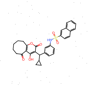 O=C1CCCCCc2oc(=O)c(C(c3cccc(NS(=O)(=O)c4ccc5ccccc5c4)c3)C3CC3)c(O)c21